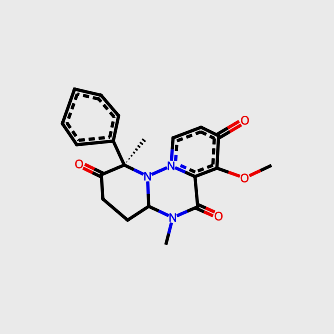 COc1c2n(ccc1=O)N1C(CCC(=O)[C@@]1(C)c1ccccc1)N(C)C2=O